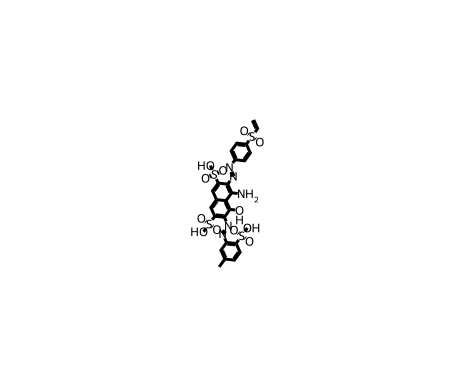 C=CS(=O)(=O)c1ccc(N=Nc2c(S(=O)(=O)O)cc3cc(S(=O)(=O)O)c(N=Nc4cc(C)ccc4S(=O)(=O)O)c(O)c3c2N)cc1